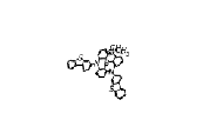 C[Si]1(C)c2cccc3c2B2c4c(cccc4N(c4ccc5c(c4)sc4ccccc45)c4cccc1c42)N3c1ccc2c(c1)sc1ccccc12